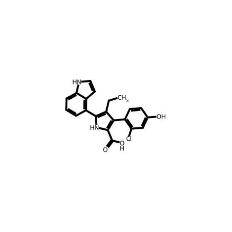 CCc1c(-c2cccc3[nH]ccc23)[nH]c(C(=O)O)c1-c1ccc(O)cc1Cl